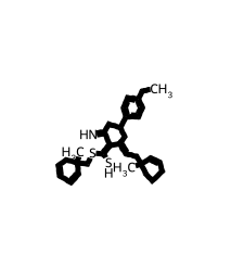 CCc1ccc(C2CC(=N)C(=C(/S)SCC3(C)C=CC=CC3)/C(=C/CC3(C)C=CCCC3)C2)cc1